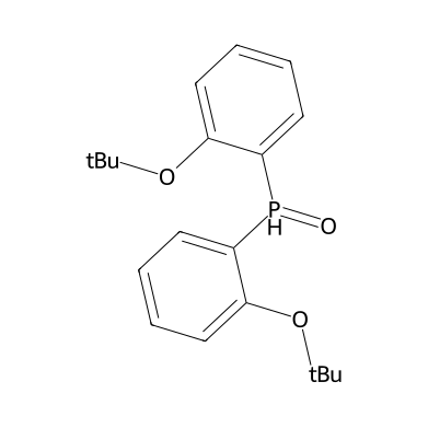 CC(C)(C)Oc1ccccc1[PH](=O)c1ccccc1OC(C)(C)C